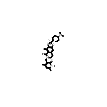 Cc1cc(C)c(CN2CCc3cc4c(c(C)c3C2=O)O[C@@](C)([C@H]2CC[C@H](N(C)C)CC2)O4)c(=O)[nH]1